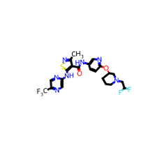 Cc1nsc(Nc2cnc(C(F)(F)F)cn2)c1C(=O)Nc1ccc(O[C@@H]2CCCN(CC(F)F)C2)nc1